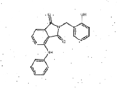 O=C1c2cccc(Nc3ccccc3)c2C(=O)N1Cc1ccccc1O